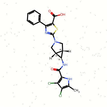 Cc1[nH]c(C(=O)N[C@H]2[C@@H]3CN(c4nc(-c5ccccc5)c(C(=O)O)s4)C[C@@H]32)c(Cl)c1Cl